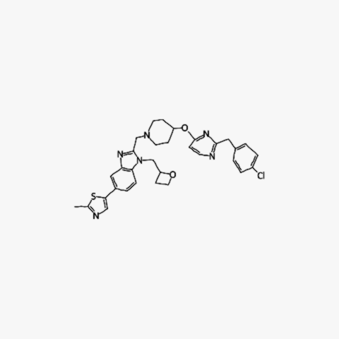 Cc1ncc(-c2ccc3c(c2)nc(CN2CCC(Oc4ccnc(Cc5ccc(Cl)cc5)n4)CC2)n3CC2CCO2)s1